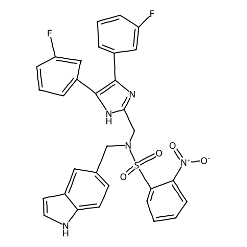 O=[N+]([O-])c1ccccc1S(=O)(=O)N(Cc1ccc2[nH]ccc2c1)Cc1nc(-c2cccc(F)c2)c(-c2cccc(F)c2)[nH]1